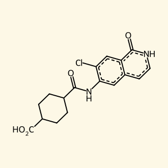 O=C(O)C1CCC(C(=O)Nc2cc3cc[nH]c(=O)c3cc2Cl)CC1